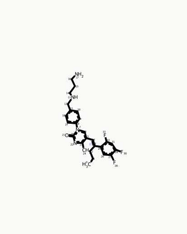 CCC/C(=C\c1cn(-c2ccc(CNCCCN)cc2)c(=O)nc1C)c1cc(F)c(F)cc1F